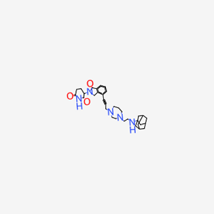 O=C1CCC(N2Cc3c(C#CCN4CCCN(CCNC56CC7CC(CC(C7)C5)C6)CC4)cccc3C2=O)C(=O)N1